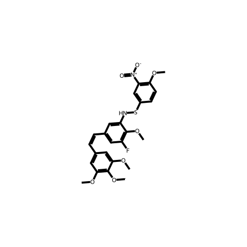 COc1ccc(SNc2cc(/C=C\c3cc(OC)c(OC)c(OC)c3)cc(F)c2OC)cc1[N+](=O)[O-]